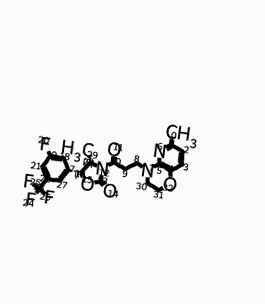 Cc1ccc2c(n1)N(CCC(=O)N1C(=O)O[C@H](c3cc(F)cc(C(F)(F)F)c3)[C@@H]1C)CCO2